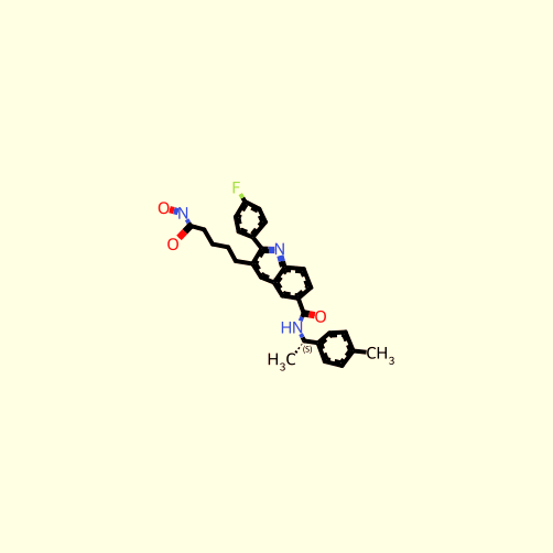 Cc1ccc([C@H](C)NC(=O)c2ccc3nc(-c4ccc(F)cc4)c(CCCCC(=O)N=O)cc3c2)cc1